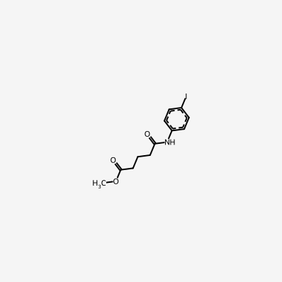 COC(=O)CCCC(=O)Nc1ccc(I)cc1